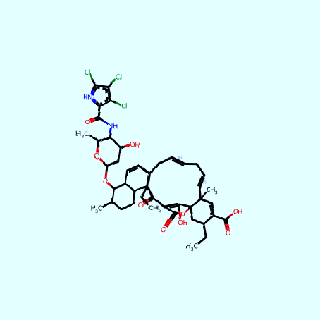 CCC1CC23OC(=O)C(=C2O)C(=O)C2(CC)C(C=CC4C(OC5CC(O)C(NC(=O)c6[nH]c(Cl)c(Cl)c6Cl)C(C)O5)C(C)CCC42)C/C=C/C/C=C/C3(C)C=C1C(=O)O